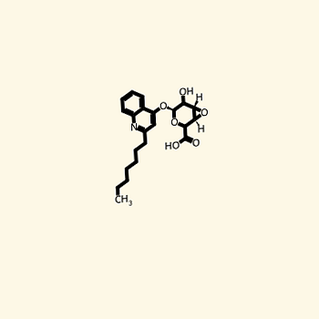 CCCCCCCc1cc(O[C@@H]2OC(C(=O)O)[C@@H]3O[C@H]3C2O)c2ccccc2n1